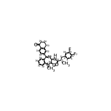 C[C@@H](Cc1ccc(F)c(F)c1)C(=O)NC1N=C(c2ccc3c(c2)CCCC3=O)c2ccccc2N(C)C1=O